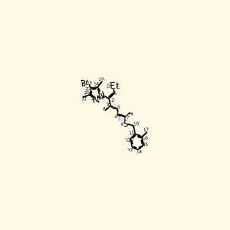 CCC=C(/C(C)=C/C=C(\C)SCc1ccccc1C)n1nc(C)c(Br)c1C